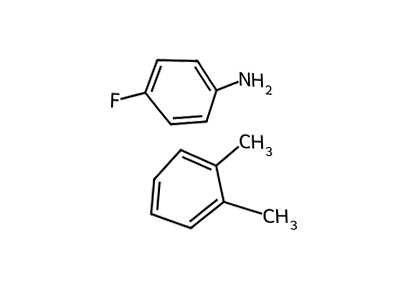 Cc1ccccc1C.Nc1ccc(F)cc1